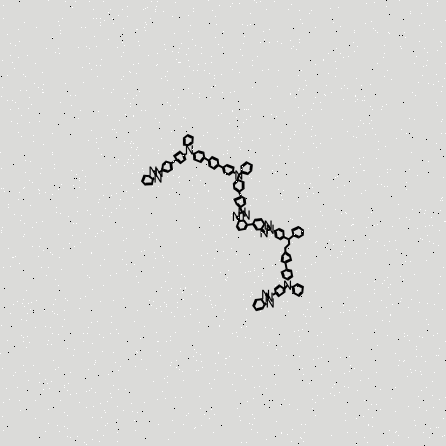 c1ccc(C(CCc2ccc(-c3ccc(N(c4ccccc4)c4ccc(-n5nc6ccccc6n5)cc4)cc3)cc2)c2ccc(-n3nc4ccc(-c5cccc6nn(-c7ccc(-c8ccc(N(c9ccccc9)c9ccc(-c%10ccc(-c%11ccc(N(c%12ccccc%12)c%12ccc(-c%13ccc(-n%14nc%15ccccc%15n%14)cc%13)cc%12)cc%11)cc%10)cc9)cc8)cc7)nc56)cc4n3)cc2)cc1